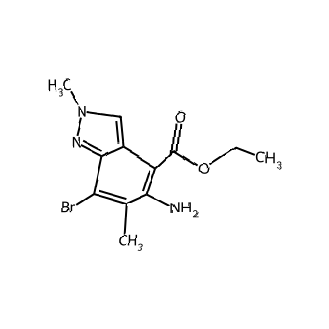 CCOC(=O)c1c(N)c(C)c(Br)c2nn(C)cc12